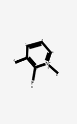 Cc1ccc[n+](C)c1F